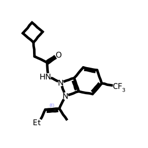 CC/C=C(\C)n1c2cc(C(F)(F)F)ccc2n1NC(=O)CC1CCC1